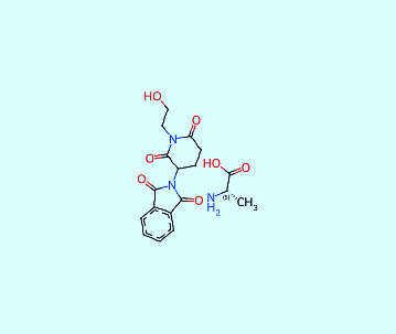 C[C@H](N)C(=O)O.O=C1CCC(N2C(=O)c3ccccc3C2=O)C(=O)N1CCO